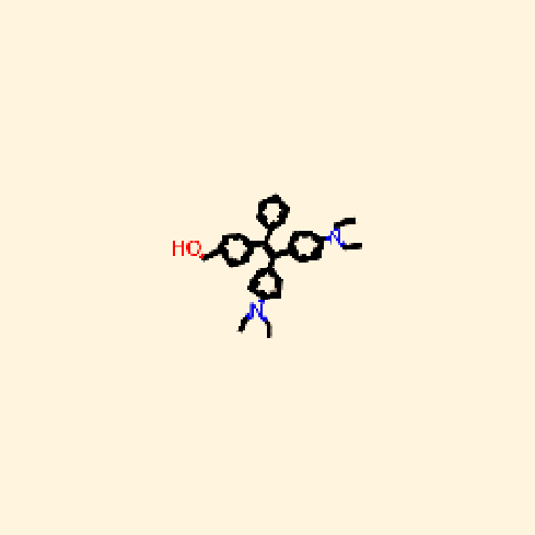 CCN(CC)c1ccc(C(=C(c2ccccc2)c2ccc(CO)cc2)c2ccc(N(CC)CC)cc2)cc1